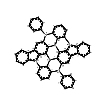 c1ccc(N2c3cccc4c3B3c5c2cc2c6ccccc6n6c2c5B2c5c(cccc5-6)N(c5ccccc5)c5cc6c7ccccc7n-4c6c3c52)cc1